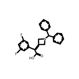 O=C(O)C(=C1CN(C(c2ccccc2)c2ccccc2)C1)c1cc(F)cc(F)c1